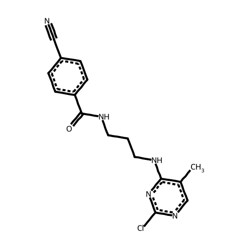 Cc1cnc(Cl)nc1NCCCNC(=O)c1ccc(C#N)cc1